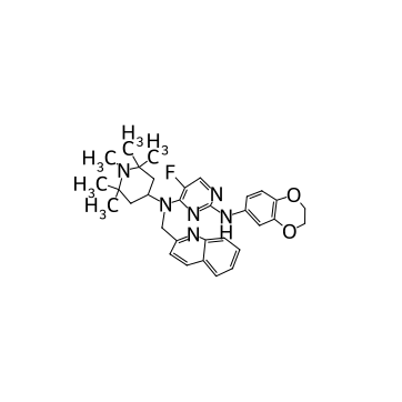 CN1C(C)(C)CC(N(Cc2ccc3ccccc3n2)c2nc(Nc3ccc4c(c3)OCCO4)ncc2F)CC1(C)C